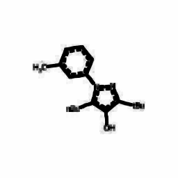 CCCCc1c(O)c(C(C)(C)C)nn1-c1cccc(C)c1